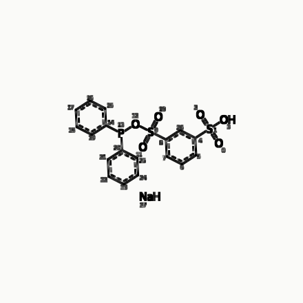 O=S(=O)(O)c1cccc(S(=O)(=O)OP(c2ccccc2)c2ccccc2)c1.[NaH]